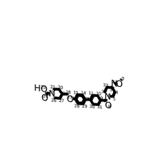 CON=C1CCN(C(=O)C2CC=C(c3ccc(OCC4CCN(C(=O)O)CC4)cc3)CC2)CC1